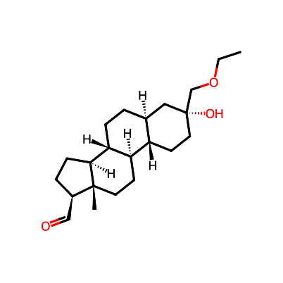 CCOC[C@@]1(O)CC[C@H]2[C@@H](CC[C@@H]3[C@@H]2CC[C@]2(C)[C@@H](C=O)CC[C@@H]32)C1